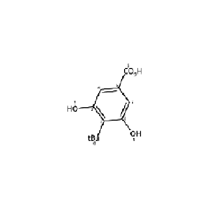 CC(C)(C)c1c(O)cc(C(=O)O)cc1O